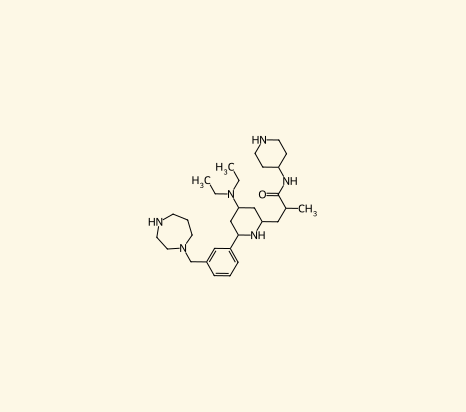 CCN(CC)C1CC(CC(C)C(=O)NC2CCNCC2)NC(c2cccc(CN3CCCNCC3)c2)C1